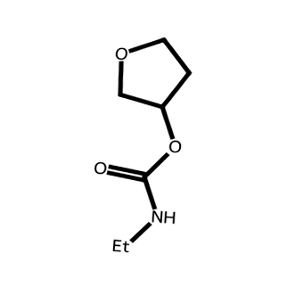 CCNC(=O)OC1CCOC1